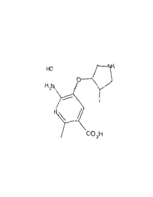 Cc1nc(N)c(OC2CNCC2C)cc1C(=O)O.Cl